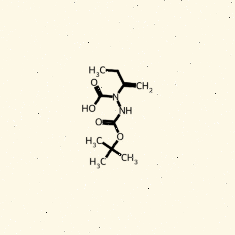 C=C(CC)N(NC(=O)OC(C)(C)C)C(=O)O